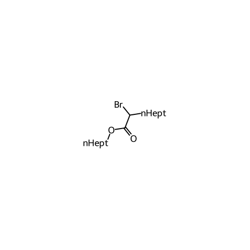 CCCCCCCOC(=O)C(Br)CCCCCCC